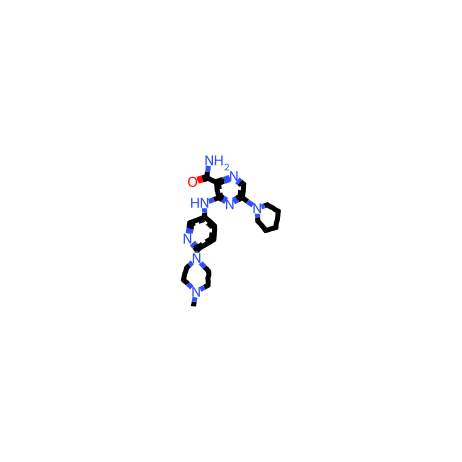 CN1CCN(c2ccc(Nc3nc(N4CCCCC4)cnc3C(N)=O)cn2)CC1